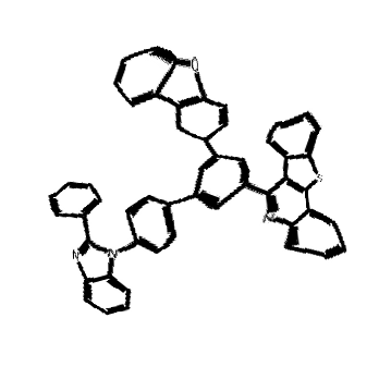 C1=CC(c2cc(-c3ccc(-n4c(-c5ccccc5)nc5ccccc54)cc3)cc(-c3nc4ccccc4c4sc5ccccc5c34)c2)Cc2c1oc1ccccc21